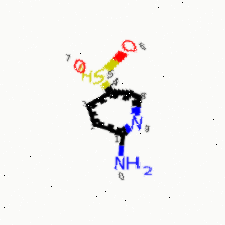 Nc1ccc([SH](=O)=O)cn1